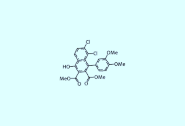 COC(=O)c1c(C(=O)OC)c(-c2ccc(OC)c(OC)c2)c2c(Cl)c(Cl)ccc2c1O